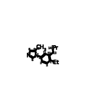 CCc1ccc(-n2cncc2C)cc1CC(C)C